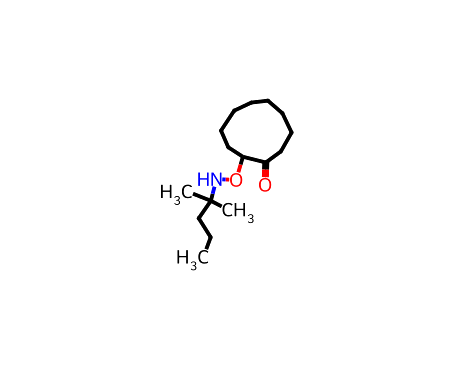 CCCC(C)(C)NOC1CCCCCCCCC1=O